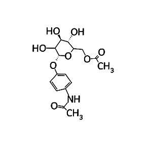 CC(=O)Nc1ccc(O[C@H]2OC(COC(C)=O)[C@@H](O)[C@H](O)C2O)cc1